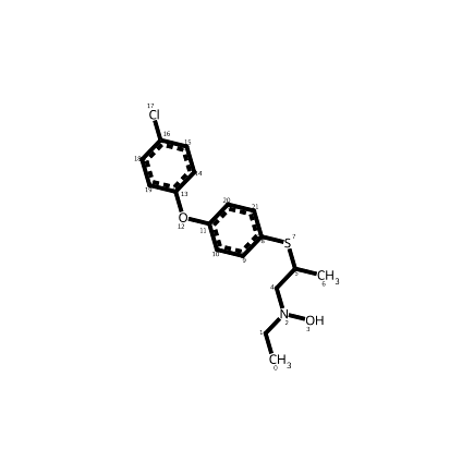 CCN(O)CC(C)Sc1ccc(Oc2ccc(Cl)cc2)cc1